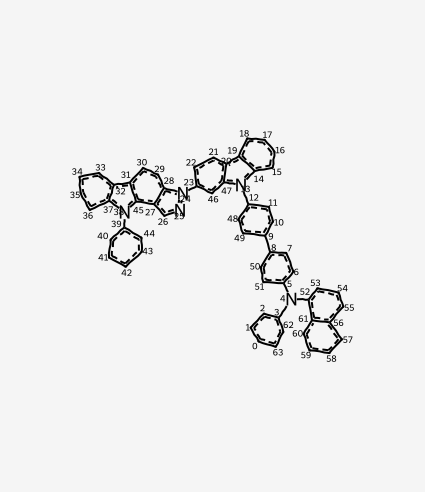 c1ccc(N(c2ccc(-c3ccc(-n4c5ccccc5c5ccc(-n6ncc7c6ccc6c8ccccc8n(-c8ccccc8)c67)cc54)cc3)cc2)c2cccc3ccccc23)cc1